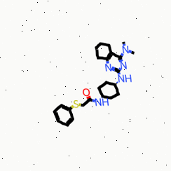 CN(C)c1nc(N[C@H]2CC[C@@H](NC(=O)CSc3ccccc3)CC2)nc2c1CCCC2